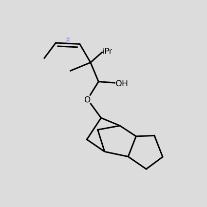 C/C=C\C(C)(C(C)C)C(O)OC1CC2CC1C1CCCC21